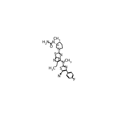 CCc1nc2sc(N3CCC[C@@H](N(C)C(N)=O)C3)nn2c1N(C)c1nc(-c2ccc(F)cc2)c(C#N)s1